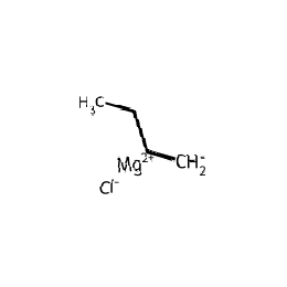 [CH2-]CCC.[Cl-].[Mg+2]